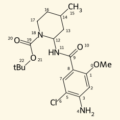 COc1cc(N)c(Cl)cc1C(=O)NC1CC(C)CCN1C(=O)OC(C)(C)C